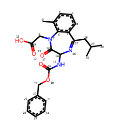 Cc1cccc2c1N(CC(=O)O)C(=O)C(NC(=O)OCc1ccccc1)N=C2CC(C)C